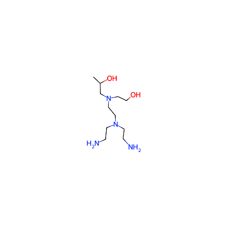 CC(O)CN(CCO)CCN(CCN)CCN